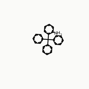 Nc1ccccc1C(c1ccccc1)(c1ccccc1)c1ccccc1